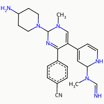 CN(C=N)C1C=C(C2=CN(C)C(N3CCC(N)CC3)N=C2c2ccc(C#N)cc2)C=CN1